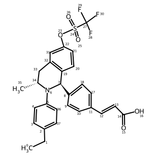 CCc1ccc(N2[C@H](c3ccc(/C=C/C(=O)O)cc3)c3ccc(OS(=O)(=O)C(F)(F)F)cc3C[C@H]2C)cc1